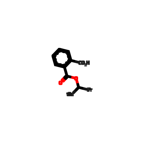 CC(C)C(OC(=O)c1ccccc1C(=O)O)C(C)(C)C